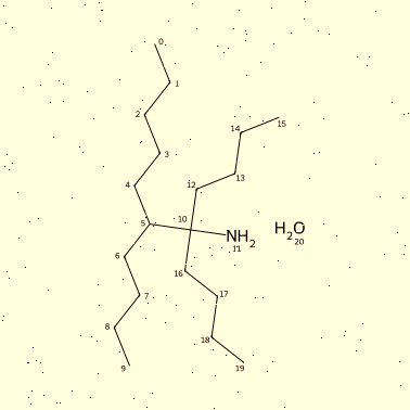 CCCCCC(CCCC)C(N)(CCCC)CCCC.O